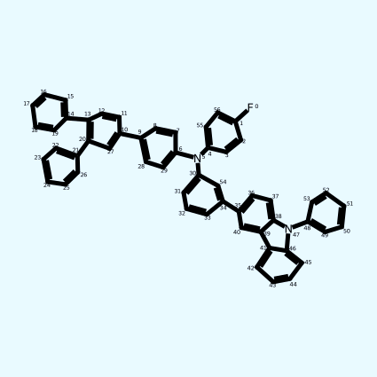 Fc1ccc(N(c2ccc(-c3ccc(-c4ccccc4)c(-c4ccccc4)c3)cc2)c2cccc(-c3ccc4c(c3)c3ccccc3n4-c3ccccc3)c2)cc1